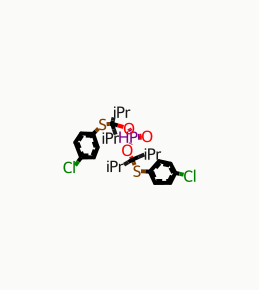 CC(C)C(O[PH](=O)OC(Sc1ccc(Cl)cc1)(C(C)C)C(C)C)(Sc1ccc(Cl)cc1)C(C)C